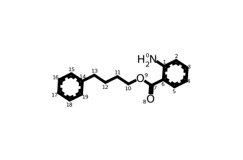 Nc1ccccc1C(=O)OCCCCc1ccccc1